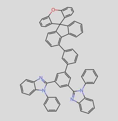 c1ccc(-n2c(-c3cc(-c4cccc(-c5cccc6c5-c5ccccc5C65c6ccccc6Oc6ccccc65)c4)cc(-c4nc5ccccc5n4-c4ccccc4)c3)nc3ccccc32)cc1